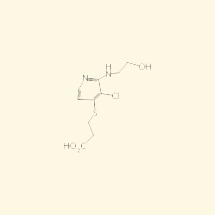 O=C(O)CCSc1ccnc(NCCO)c1Cl